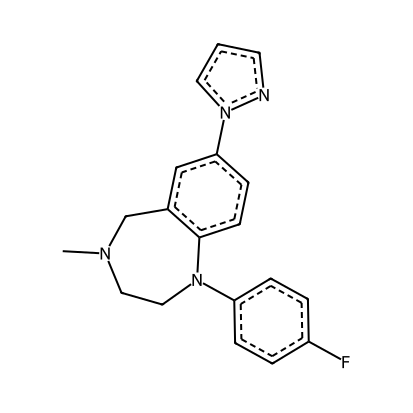 CN1CCN(c2ccc(F)cc2)c2ccc(-n3cccn3)cc2C1